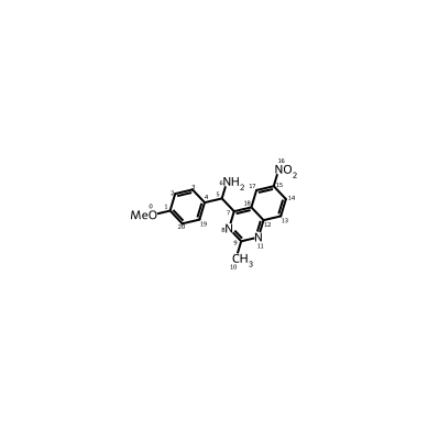 COc1ccc(C(N)c2nc(C)nc3ccc([N+](=O)[O-])cc23)cc1